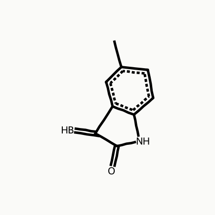 B=C1C(=O)Nc2ccc(C)cc21